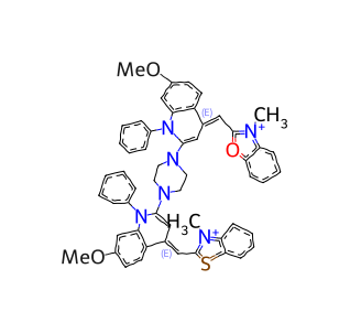 COc1ccc2c(c1)N(c1ccccc1)C(N1CCN(C3=C/C(=C\c4sc5ccccc5[n+]4C)c4ccc(OC)cc4N3c3ccccc3)CC1)=C/C2=C\c1oc2ccccc2[n+]1C